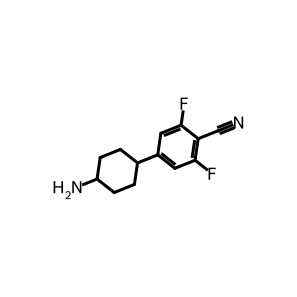 N#Cc1c(F)cc(C2CCC(N)CC2)cc1F